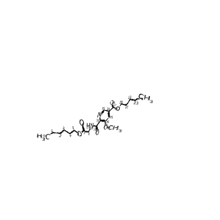 CCCCCCOC(=O)CNC(=O)c1ncc(C(=O)OCCCCC)cc1OC